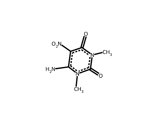 Cn1c(N)c([N+](=O)[O-])c(=O)n(C)c1=O